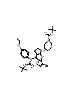 CCOc1ccc(N(C(=O)OC(C)(C)C)c2c3c(nc4c(Br)cnn24)N([C@H]2CCCN(C(=O)OC(C)(C)C)C2)CC3)cc1